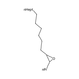 [CH2]CCC1OC1CCCCCCCCCCCCC